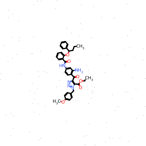 CCCC(Oc1ccccc1C(=O)Nc1ccc(C(=O)c2nnn(Cc3ccc(OC)cc3)c2C(=O)OCC)c(N)c1)c1ccccc1